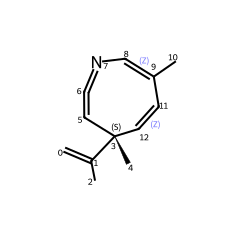 C=C(C)[C@]1(C)C=C=N/C=C(C)\C=C/1